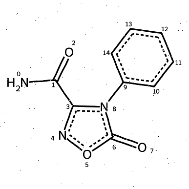 NC(=O)c1noc(=O)n1-c1ccccc1